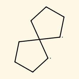 [CH]1CCCC12[CH]CCC2